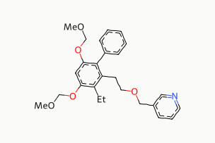 CCc1c(OCOC)cc(OCOC)c(-c2ccccc2)c1CCOCc1cccnc1